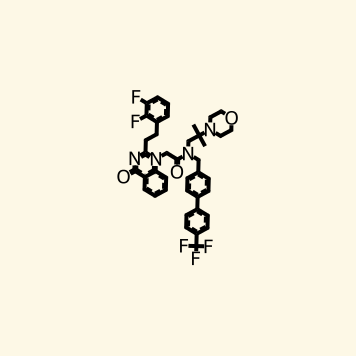 CC(C)(CN(Cc1ccc(-c2ccc(C(F)(F)F)cc2)cc1)C(=O)Cn1c(CCc2cccc(F)c2F)nc(=O)c2ccccc21)N1CCOCC1